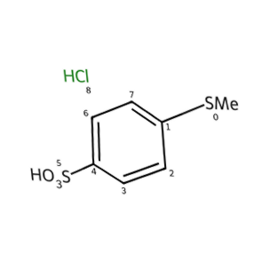 CSc1ccc(S(=O)(=O)O)cc1.Cl